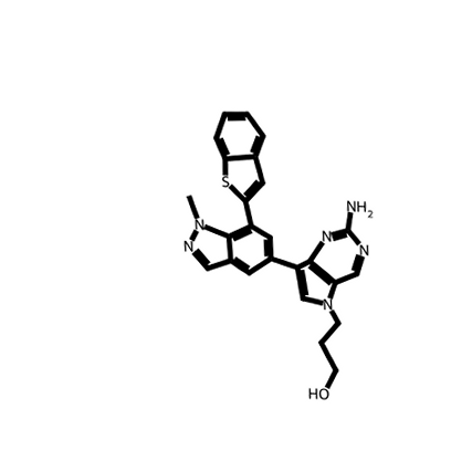 Cn1ncc2cc(-c3cn(CCCO)c4cnc(N)nc34)cc(-c3cc4ccccc4s3)c21